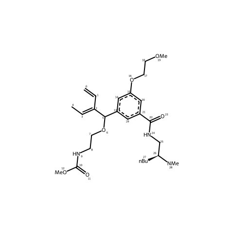 C=C/C(=C\C)C(OCCNC(=O)OC)c1cc(OCCOC)cc(C(=O)NC[C@H](CCCC)NC)c1